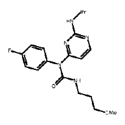 COCCCNC(=O)N(c1ccc(F)cc1)c1ccnc(NC(C)C)n1